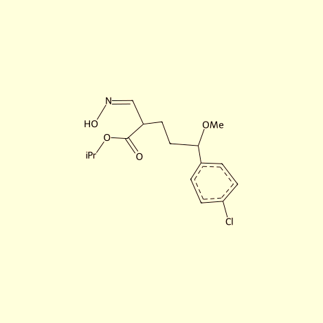 COC(CCC(/C=N\O)C(=O)OC(C)C)c1ccc(Cl)cc1